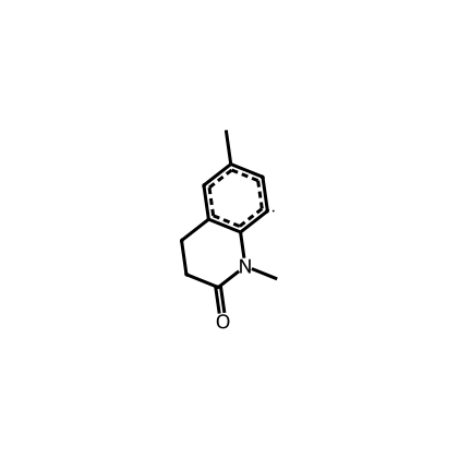 Cc1c[c]c2c(c1)CCC(=O)N2C